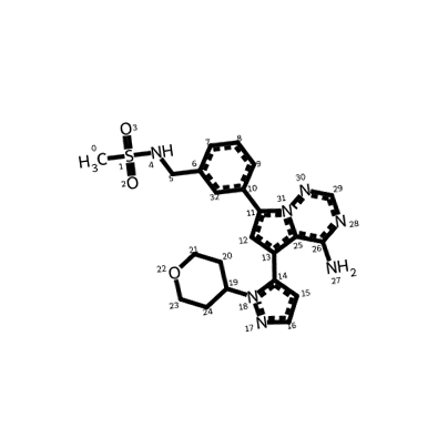 CS(=O)(=O)NCc1cccc(-c2cc(-c3ccnn3C3CCOCC3)c3c(N)ncnn23)c1